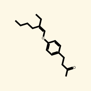 CCCCC(=COc1ccc(CCC(C)=O)cc1)CC